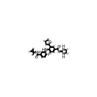 CC1(NC(=O)c2cccc(Nc3c(F)cc(C(=O)N=C4NCCN4)cc3C3CCCO3)c2)CC1